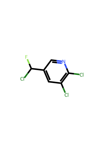 FC(Cl)c1cnc(Cl)c(Cl)c1